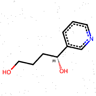 OCCC[C@@H](O)c1cccnc1